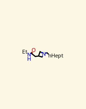 CCCCCCCCN1CC(CC(=O)NCC)C1